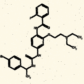 CCN(CC)CCOc1cc(NC(=S)NC(C)c2ccc(Br)cc2)ccc1NC(=O)c1ccccc1F